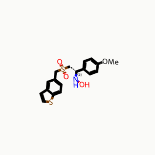 COc1ccc([C@@H](CS(=O)(=O)Cc2ccc3sccc3c2)NO)cc1